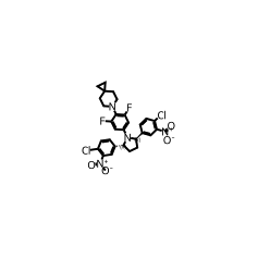 O=[N+]([O-])c1cc([C@H]2CC[C@H](c3ccc(Cl)c([N+](=O)[O-])c3)N2c2cc(F)c(N3CCC4(CC3)CC4)c(F)c2)ccc1Cl